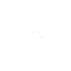 Cc1ccc2c(c1)NC(=O)c1cscc1O2